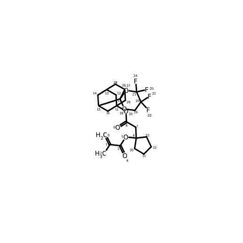 C=C(C)C(=O)OC1(CC(=O)OC23CC4CC(C2)C2(OCC(F)(F)C(F)(F)O2)C(C4)C3)CCCC1